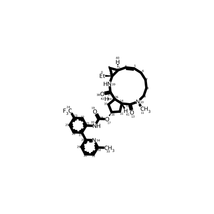 CC[C@@]12C[C@H]1/C=C\CCCCN(C)C(=O)[C@@H]1C[C@H](OC(=O)Nc3cc(C(F)(F)F)ccc3-c3cccc(C)n3)C[C@H]1C(=O)N2